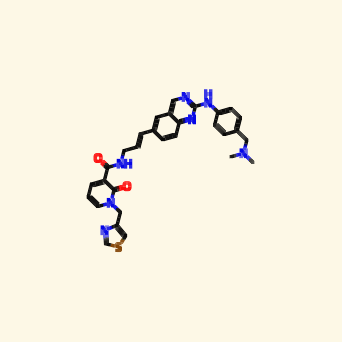 CN(C)Cc1ccc(Nc2ncc3cc(/C=C/CNC(=O)c4cccn(Cc5cscn5)c4=O)ccc3n2)cc1